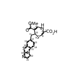 COC(=O)C1=CNC(C(=O)O)=CSC1Cc1ccc2c(c1)sc1nccn12